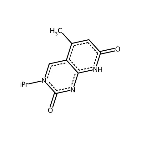 Cc1cc(=O)[nH]c2nc(=O)n(C(C)C)cc12